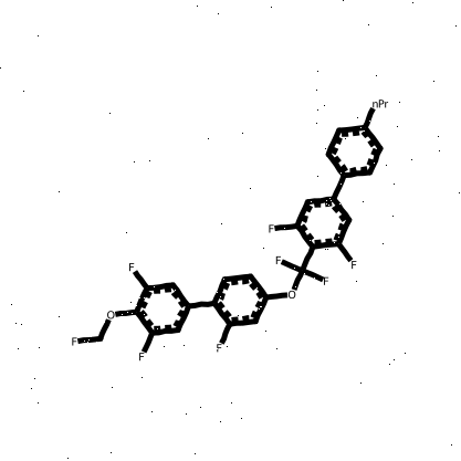 CCCc1ccc(-c2cc(F)c(C(F)(F)Oc3ccc(-c4cc(F)c(OCF)c(F)c4)c(F)c3)c(F)c2)cc1